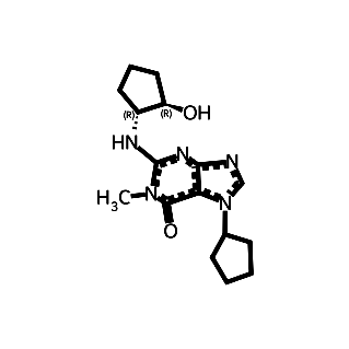 Cn1c(N[C@@H]2CCC[C@H]2O)nc2ncn(C3CCCC3)c2c1=O